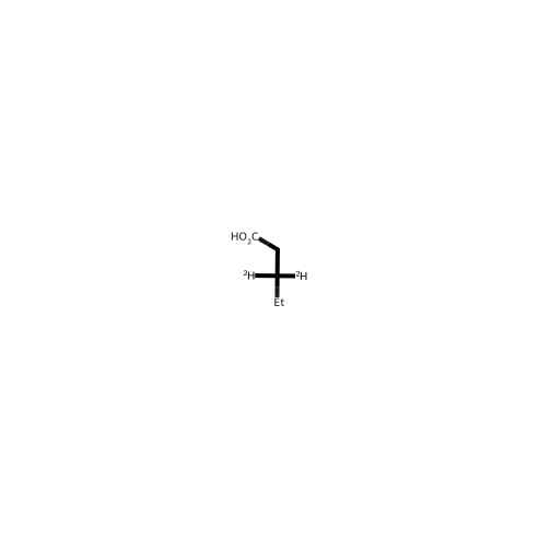 [2H]C([2H])(CC)CC(=O)O